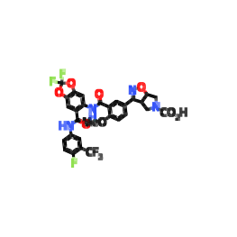 COc1ccc(C2=NOC3CN(C(=O)O)CC23)cc1C(=O)Nc1cc2c(cc1C(=O)Nc1ccc(F)c(C(F)(F)F)c1)OC(F)(F)O2